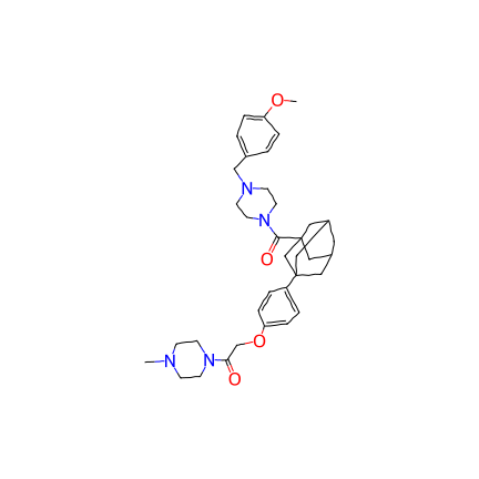 COc1ccc(CN2CCN(C(=O)C34CC5CC(C3)CC(c3ccc(OCC(=O)N6CCN(C)CC6)cc3)(C5)C4)CC2)cc1